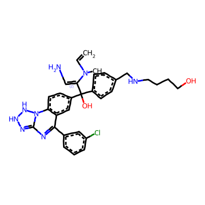 C=CN(C)/C(=C\N)C(O)(c1ccc(CNCCCCO)cc1)c1ccc2c(c1)C(c1cccc(Cl)c1)=NC1=NNNN12